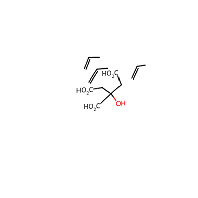 C=CC.C=CC.C=CC.O=C(O)CC(O)(CC(=O)O)C(=O)O